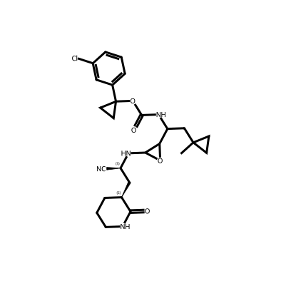 CC1(CC(NC(=O)OC2(c3cccc(Cl)c3)CC2)C2OC2N[C@H](C#N)C[C@@H]2CCCNC2=O)CC1